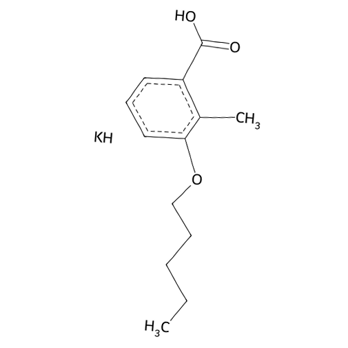 CCCCCOc1cccc(C(=O)O)c1C.[KH]